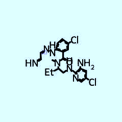 CCC(CNc1ncc(Cl)cc1N)N(C)C(=O)c1cc(Cl)ccc1N/N=C\C=N